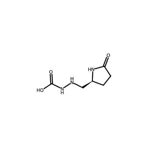 O=C(O)NNC[C@@H]1CCC(=O)N1